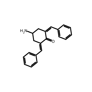 NC1CC(=Cc2ccccc2)C(=O)C(=Cc2ccccc2)C1